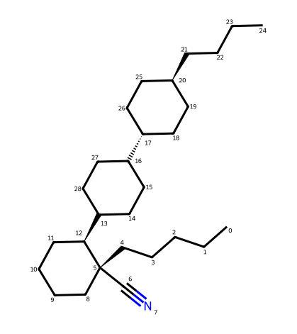 CCCCC[C@@]1(C#N)CCCC[C@H]1C1CCC([C@H]2CC[C@H](CCCC)CC2)CC1